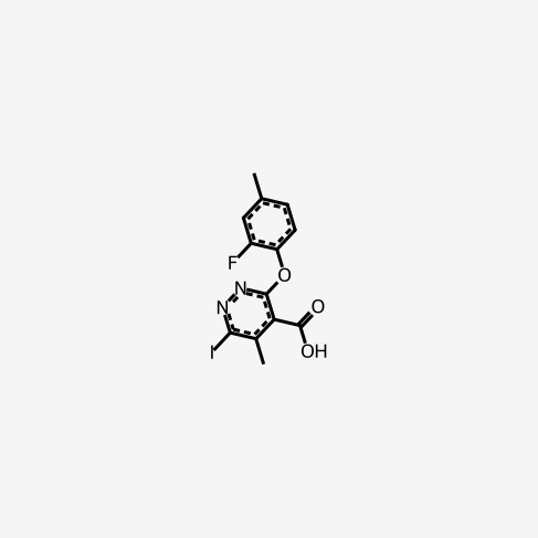 Cc1ccc(Oc2nnc(I)c(C)c2C(=O)O)c(F)c1